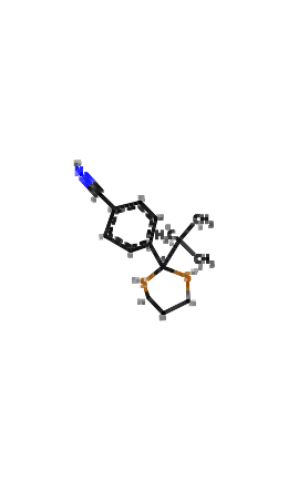 CC(C)(C)C1(c2ccc(C#N)cc2)SCCCS1